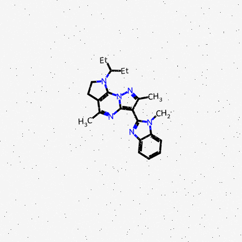 [CH2]n1c(-c2c(C)nn3c4c(c(C)nc23)CCN4C(CC)CC)nc2ccccc21